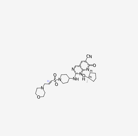 C[C@@]1(O)CCC[C@H]1n1c(=O)c(C#N)cc2cnc(NC3CCN(S(=O)(=O)/C=C/CN4CCOCC4)CC3)nc21